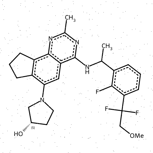 COCC(F)(F)c1cccc(C(C)Nc2nc(C)nc3c4c(c(N5CC[C@H](O)C5)cc23)CCC4)c1F